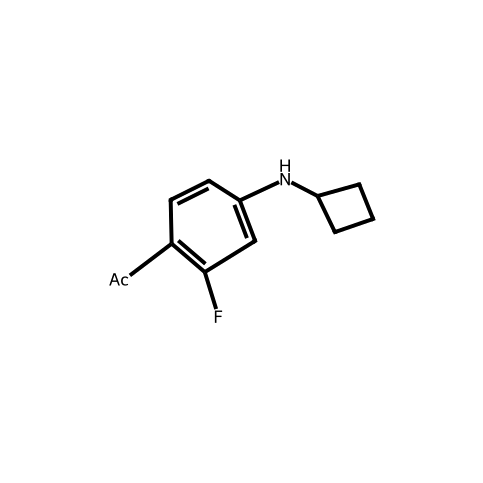 CC(=O)c1ccc(NC2CCC2)cc1F